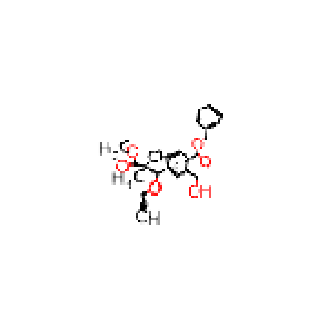 C#CCOC(c1ccc(C(=O)OCc2ccccc2)c(CO)c1)C(C)(C)C(=O)OC